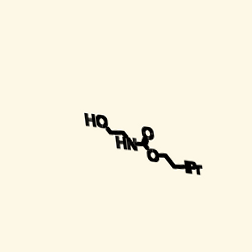 CC(C)CCOC(=O)NCCO